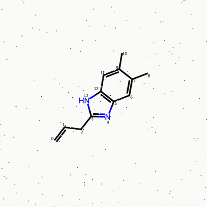 C=C[CH]c1nc2cc(C)c(C)cc2[nH]1